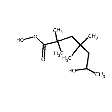 CC(O)CC(C)(C)CC(C)(C)C(=O)OO